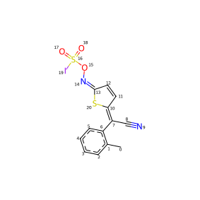 Cc1ccccc1/C(C#N)=C1/C=CC(=NOS(=O)(=O)I)S1